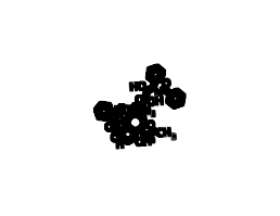 CC(=O)O[C@H]1C(=O)[C@@]2(C)C([C@H](OC(=O)c3ccccc3)[C@]3(O)C[C@H](OC(=O)[C@H](O)[C@@H](NC(=O)c4ccccc4)c4ccccc4)C=C1C3(C)C)[C@]1(OC(C)=O)CO[C@@H]1C[C@@H]2O